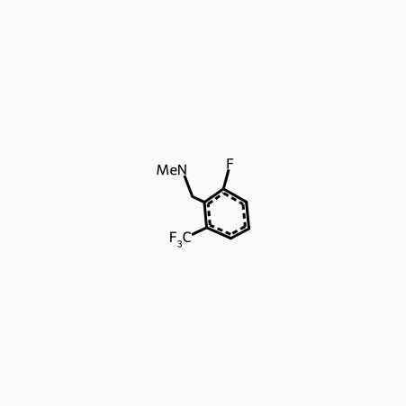 CNCc1c(F)cccc1C(F)(F)F